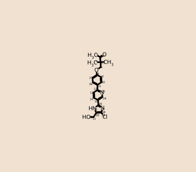 CC(=O)C(C)(C)COc1ccc(-c2ccc(-c3nc(Cl)c(CO)[nH]3)cn2)cc1